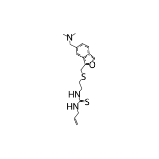 C=CCNC(=S)NCCSCc1occ2ccc(CN(C)C)cc12